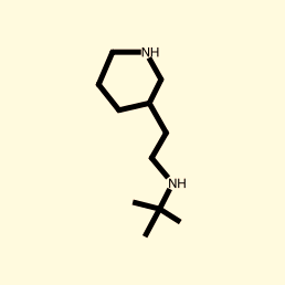 CC(C)(C)NCCC1CCCNC1